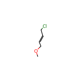 COCC=CCCl